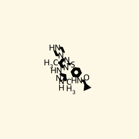 Cc1cc(Nc2nc(Sc3ccc(NC(=O)C4CC4)cc3)nc(N3CCNCC3)c2C)n[nH]1